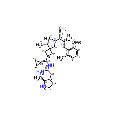 C=C=C(/C(C)=C/c1c(C)cccc1OC)N(C)CC1(C=C)CC(C(NC(N)CC2CCNC2=C)=C2CC2)C1